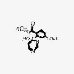 CCCCCCCCOC(=O)c1ccc(CCCCCCCC)cc1C(=O)O.c1cncnc1